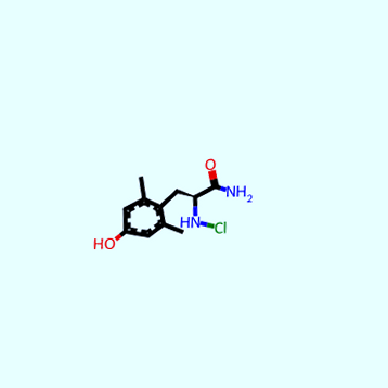 Cc1cc(O)cc(C)c1C[C@H](NCl)C(N)=O